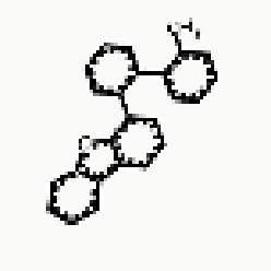 Cc1ccccc1-c1ccccc1-c1cccc2c1oc1ccccc12